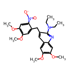 CCN(CC)c1nc2cc(OC)c(OC)cc2cc1Cc1cc(OC)c(OC)cc1[N+](=O)[O-]